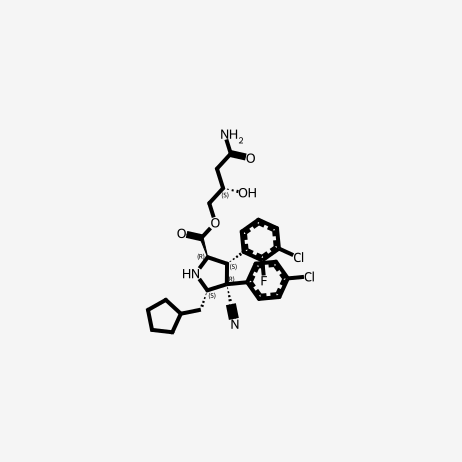 N#C[C@]1(c2ccc(Cl)cc2)[C@H](CC2CCCC2)N[C@@H](C(=O)OC[C@@H](O)CC(N)=O)[C@@H]1c1cccc(Cl)c1F